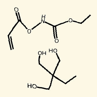 C=CC(=O)ONC(=O)OCC.CCC(CO)(CO)CO